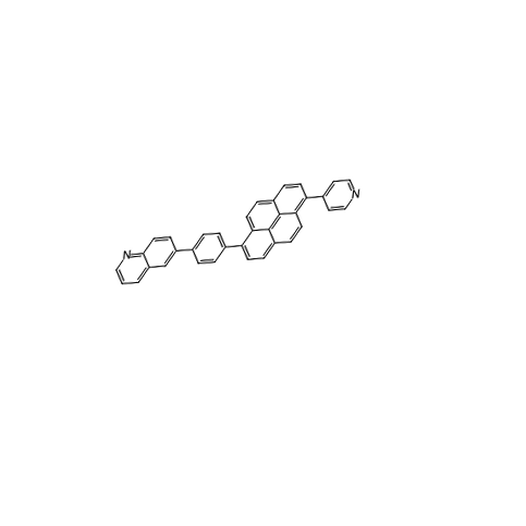 c1cnc2ccc(-c3ccc(-c4ccc5ccc6c(-c7ccncc7)ccc7ccc4c5c76)cc3)cc2c1